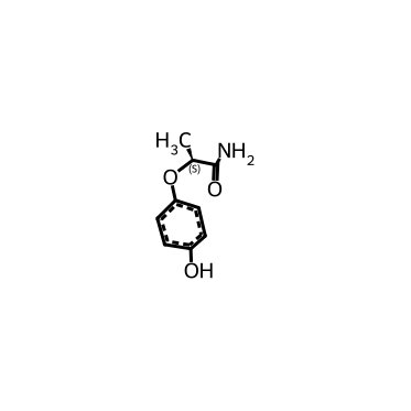 C[C@H](Oc1ccc(O)cc1)C(N)=O